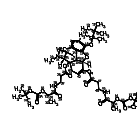 Cc1ccc(O[Si](C)(C)C(C)(C)C)c2c1[C@]13CC4CN(C)[C@H]4[C@]1(OC(=O)CCNC(=O)[C@H](C)OC(=O)OC(C)(C)C)CC=C(OC(=O)CCNC(=O)[C@H](C)OC(=O)OC(C)(C)C)[C@@H]3O2